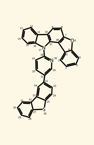 c1ccc2c(c1)oc1ccc3c4ccccc4n(-c4ccc(-c5ccc6sc7ccccc7c6c5)cn4)c3c12